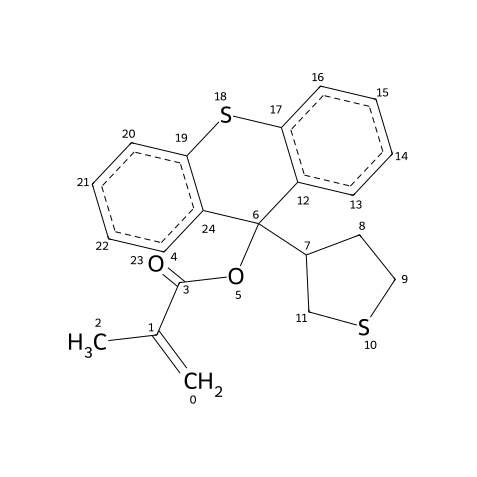 C=C(C)C(=O)OC1(C2CCSC2)c2ccccc2Sc2ccccc21